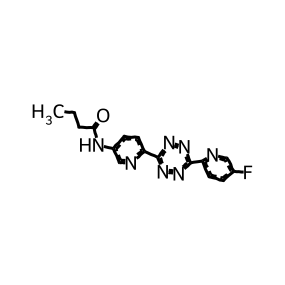 CCCC(=O)Nc1ccc(-c2nnc(-c3ccc(F)cn3)nn2)nc1